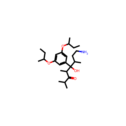 CCC(C)Oc1cc(OC(C)CC)cc(C(O)(C(C)CCN)C(C)C(=O)C(C)C)c1